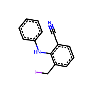 N#Cc1cccc(CI)c1Nc1ccccc1